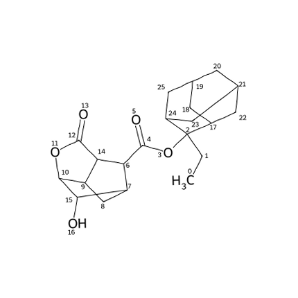 CCC1(OC(=O)C2C3CC4C(OC(=O)C42)C3O)C2CC3CC(C2)CC1C3